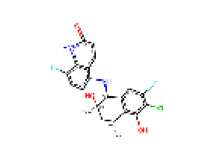 CC[C@@H]1C[C@](O)(C(F)(F)F)[C@@H](Nc2ccc(F)c3[nH]c(=O)ccc23)c2cc(F)c(Cl)c(O)c21